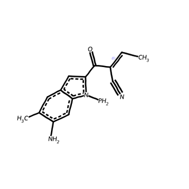 C/C=C(\C#N)C(=O)c1cc2cc(C)c(N)cc2n1P